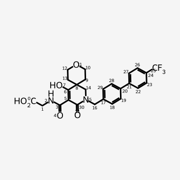 O=C(O)CNC(=O)C1=C(O)C2(CCOCC2)CN(Cc2ccc(-c3ccc(C(F)(F)F)cc3)cc2)C1=O